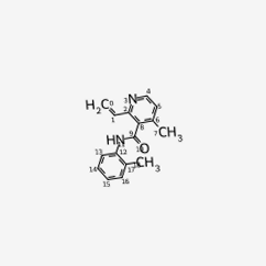 C=Cc1nccc(C)c1C(=O)Nc1ccccc1C